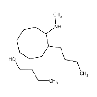 CCCCC1CCCCCCC1NC.CCCCO